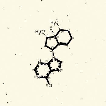 C[C@@H]1CCC=C2[C@H]1[C@@H](C)C[C@@H]2n1cnc2c(Cl)ncnc21